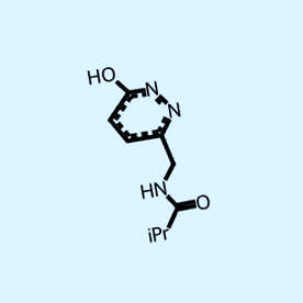 CC(C)C(=O)NCc1ccc(O)nn1